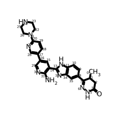 CC1CC(=O)NN=C1c1ccc2[nH]c(-c3cc(-c4ccc(N5CCNCC5)nc4)cnc3N)nc2c1